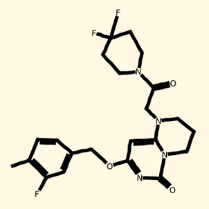 Cc1ccc(COc2cc3n(c(=O)n2)CCCN3CC(=O)N2CCC(F)(F)CC2)cc1F